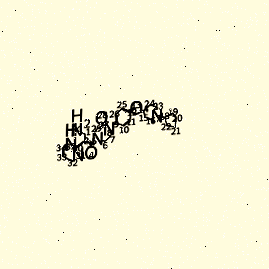 NC/C(C(=O)N1CCN(c2ccc(OC3CCN(C4CCCC4)CC3)cc2)C(=O)C1)=C1/N=CC=CN1